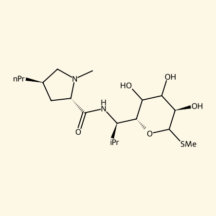 CCC[C@@H]1C[C@@H](C(=O)N[C@H](C(C)C)[C@H]2OC(SC)[C@H](O)C(O)C2O)N(C)C1